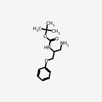 CC(C)(C)OC(=O)NC(CN)COc1ccccc1